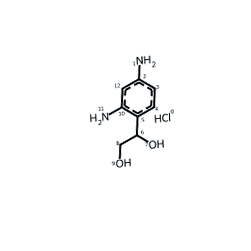 Cl.Nc1ccc(C(O)CO)c(N)c1